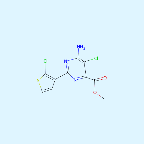 COC(=O)c1nc(-c2ccsc2Cl)nc(N)c1Cl